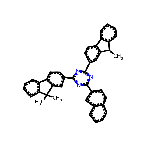 CC1c2ccccc2-c2ccc(-c3nc(-c4ccc5c(c4)C(C)(C)c4ccccc4-5)nc(-c4ccc5ccccc5c4)n3)cc21